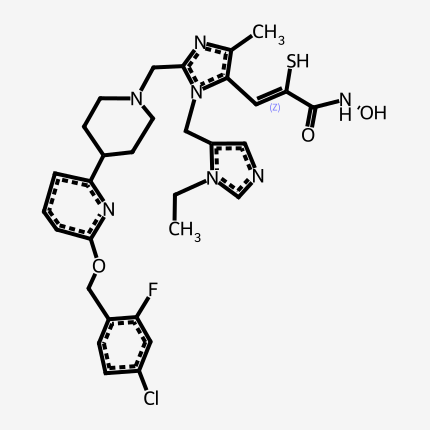 CCn1cncc1Cn1c(CN2CCC(c3cccc(OCc4ccc(Cl)cc4F)n3)CC2)nc(C)c1/C=C(\S)C(=O)NO